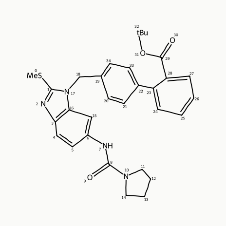 CSc1nc2ccc(NC(=O)N3CCCC3)cc2n1Cc1ccc(-c2ccccc2C(=O)OC(C)(C)C)cc1